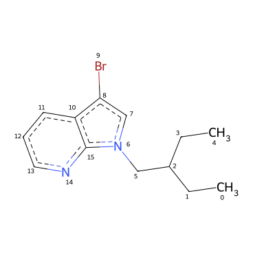 CCC(CC)Cn1cc(Br)c2cccnc21